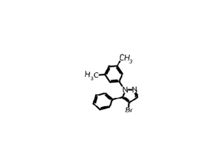 Cc1cc(C)cc(-n2ncc(Br)c2-c2ccccc2)c1